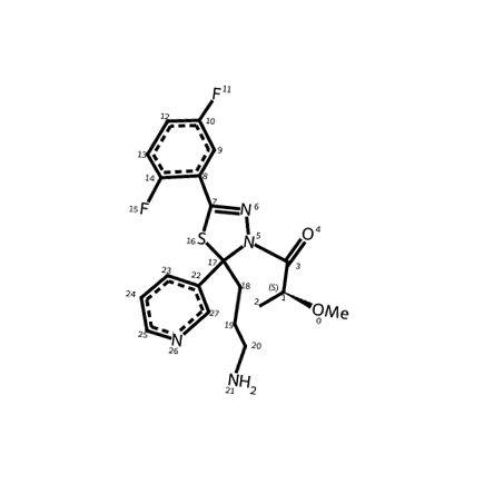 CO[C@@H](C)C(=O)N1N=C(c2cc(F)ccc2F)SC1(CCCN)c1cccnc1